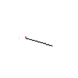 C=C(O)CCCCCCCCCCCCCCCCCCC=S